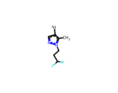 [2H]c1cnn(CCC(F)F)c1C